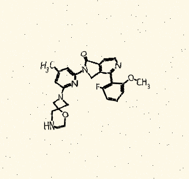 COc1cccc(F)c1-c1nccc2c1CN(c1cc(C)cc(N3CC4(CNCCO4)C3)n1)C2=O